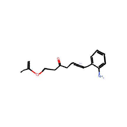 C=C(C)OCCC(=O)C/C=C/c1ccccc1N